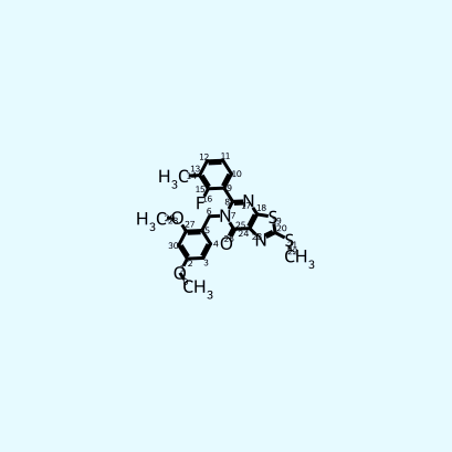 COc1ccc(Cn2c(-c3cccc(C)c3F)nc3sc(SC)nc3c2=O)c(OC)c1